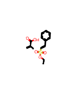 C=C(C)C(=O)O.CCOS(=O)(=O)C=Cc1ccccc1